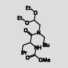 CCOC(CN(CC(C)CC)C(=O)C(CC(C)C)NC(=O)OC)OCC